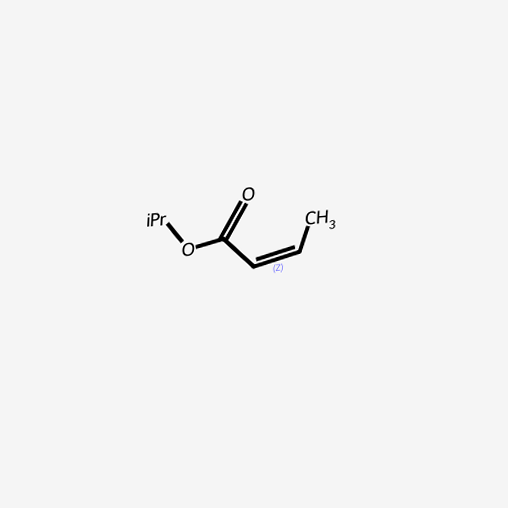 C/C=C\C(=O)OC(C)C